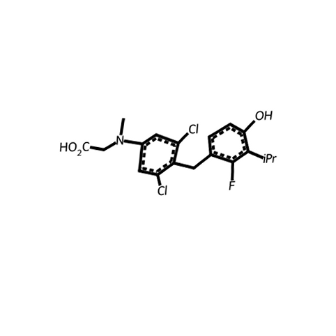 CC(C)c1c(O)ccc(Cc2c(Cl)cc(N(C)CC(=O)O)cc2Cl)c1F